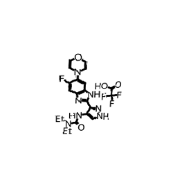 CCN(CC)C(=O)Nc1c[nH]nc1-c1nc2cc(F)c(N3CCOCC3)cc2[nH]1.O=C(O)C(F)(F)F